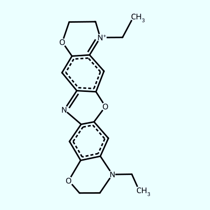 CCN1CCOc2cc3c(cc21)Oc1cc2c(cc1=N3)OCC[N+]=2CC